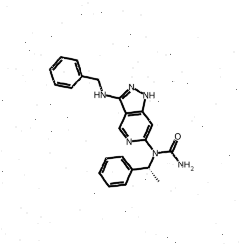 C[C@H](c1ccccc1)N(C(N)=O)c1cc2[nH]nc(NCc3ccccc3)c2cn1